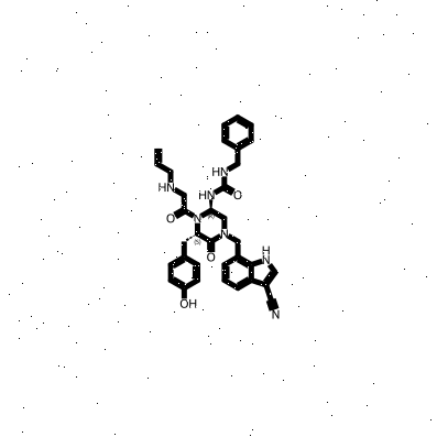 C=CCNCC(=O)N1[C@@H](NC(=O)NCc2ccccc2)CN(Cc2cccc3c(C#N)c[nH]c23)C(=O)[C@@H]1Cc1ccc(O)cc1